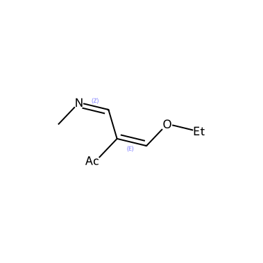 CCO/C=C(\C=N/C)C(C)=O